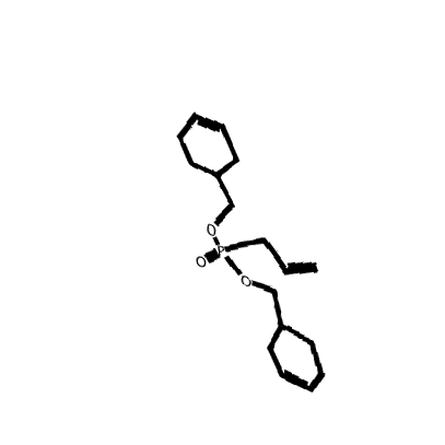 C=CCP(=O)(OCC1CC=CCC1)OCC1CC=CCC1